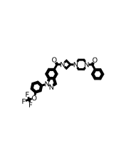 O=C(c1ccccc1)N1CCN(C2CN(C(=O)c3ccc4c(cnn4-c4cccc(OC(F)(F)F)c4)c3)C2)CC1